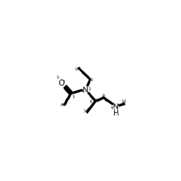 CCN(C(C)=O)C(C)CNC